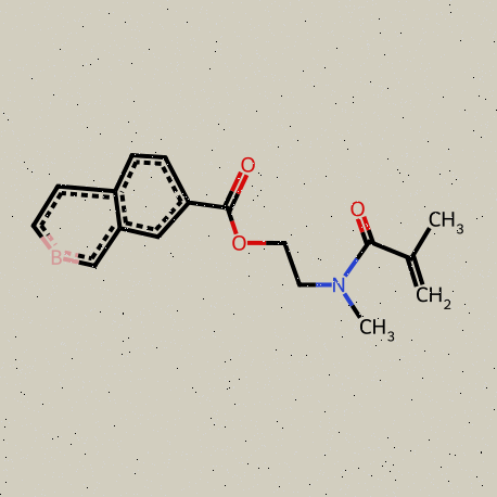 C=C(C)C(=O)N(C)CCOC(=O)c1ccc2ccbcc2c1